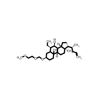 C=CC[C@@H](C)[C@H]1CC[C@H]2C3[C@H](O)[C@H](CC)C4C[C@H](OCOCCOC)CCC4(C)[C@H]3CC[C@]12C